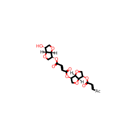 CC(=O)C=CC(=O)O[C@@H]1CO[C@H]2[C@@H]1OC[C@H]2OC(=O)C=CC(=O)O[C@@H]1CO[C@H]2[C@@H]1OC[C@H]2O